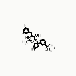 CC(=O)NC(Cc1cc(F)cc(F)c1)C(O)CNC1(c2cccc(C(C)C)c2)CC2NC2C1